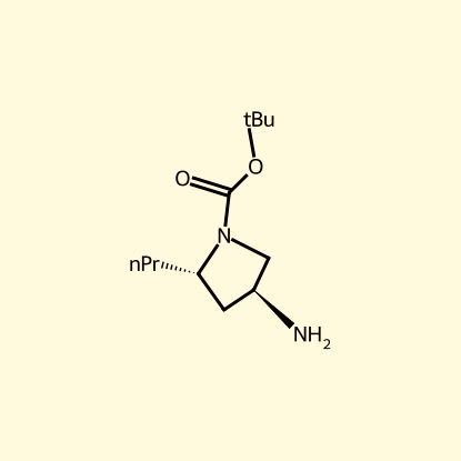 CCC[C@H]1C[C@H](N)CN1C(=O)OC(C)(C)C